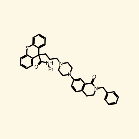 CCNC(=O)C1(CCCN2CCN(c3ccc4c(c3)C(=O)N(Cc3ccccc3)CC4)CC2)c2ccccc2Sc2ccccc21